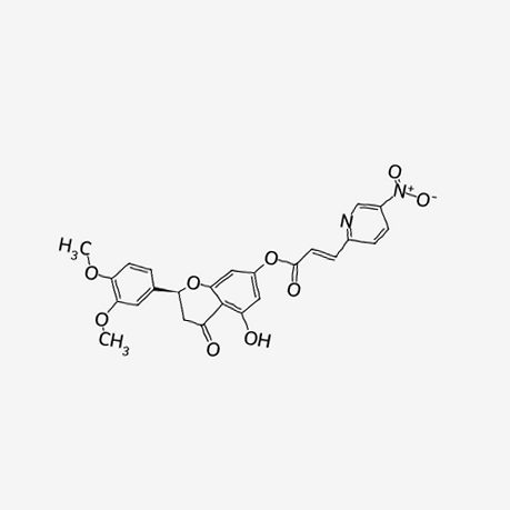 COc1ccc([C@@H]2CC(=O)c3c(O)cc(OC(=O)/C=C/c4ccc([N+](=O)[O-])cn4)cc3O2)cc1OC